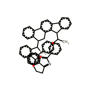 CC(c1ccccc1C1=C/CC/C(c2ccccc2)=N/C(c2ccccc2)=N\1)C1Cc2c(ccc3c2C(C(C)c2ccc(-c4ccccc4)cc2)c2ccccc2-3)-c2ccccc21